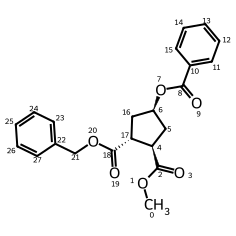 COC(=O)[C@@H]1C[C@H](OC(=O)c2ccccc2)C[C@H]1C(=O)OCc1ccccc1